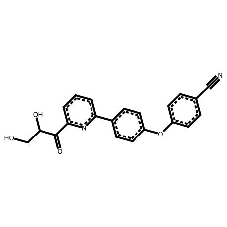 N#Cc1ccc(Oc2ccc(-c3cccc(C(=O)C(O)CO)n3)cc2)cc1